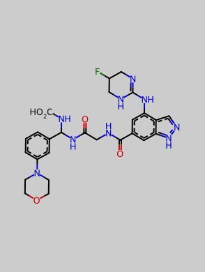 O=C(O)NC(NC(=O)CNC(=O)c1cc(NC2=NCC(F)CN2)c2cn[nH]c2c1)c1cccc(N2CCOCC2)c1